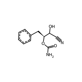 N#CC(O)[C@H](Cc1ccccc1)OC(N)=O